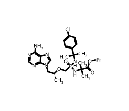 CC(C)OC(=O)C(C)(C)NP(=O)(CO[C@H](C)Cn1cnc2c(N)ncnc21)NC(C)(C)c1ccc(Cl)cc1